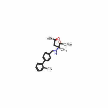 CCCCC(=O)CC(C)(NCc1ccc(-c2ccccc2C#N)cc1)C(=O)OC